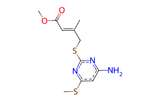 COC(=O)C=C(C)CSc1nc(N)cc(SC)n1